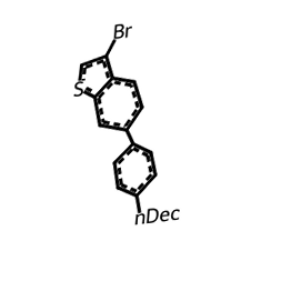 CCCCCCCCCCc1ccc(-c2ccc3c(Br)csc3c2)cc1